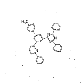 Cc1ccc(-c2cc(-c3cccc(-c4ccccc4)n3)cc(-c3nc(-c4ccccc4)nc(-c4ccccc4)n3)c2)cc1